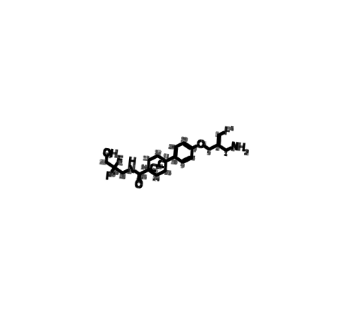 NCC(=CF)COc1ccc(C23CCC(C(=O)NCC(F)(F)CO)(CC2)CC3)cc1